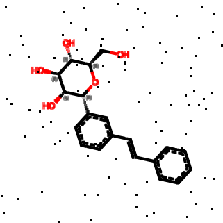 OC[C@H]1O[C@H](c2cccc(C=Cc3ccccc3)c2)[C@@H](O)[C@@H](O)[C@@H]1O